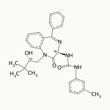 Cc1cccc(NC(=O)N[C@@H]2N=C(c3ccccc3)c3ccccc3N(C[C@@H](O)C(C)(C)C)C2=O)c1